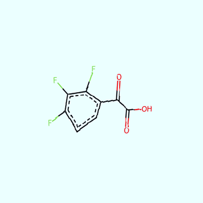 O=C(O)C(=O)c1ccc(F)c(F)c1F